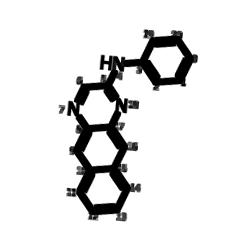 c1ccc(Nc2cnc3cc4ccccc4cc3n2)cc1